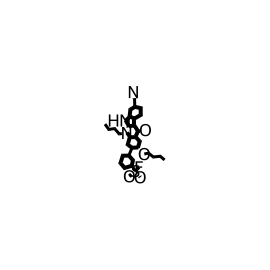 CCCCOc1cc2c(=O)c3c4ccc(C#N)cc4[nH]c3n(CCCC)c2cc1-c1cccc(S(=O)(=O)F)c1